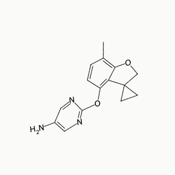 Cc1ccc(Oc2ncc(N)cn2)c2c1OCC21CC1